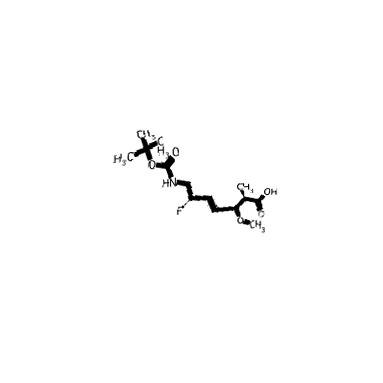 COC(CC[C@H](F)CNC(=O)OC(C)(C)C)[C@@H](C)C(=O)O